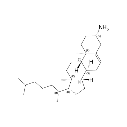 CC(C)CCC[C@@H](C)[C@H]1CC[C@H]2[C@@H]3CC=C4C[C@@H](N)CC[C@]4(C)[C@H]3CC[C@]12C